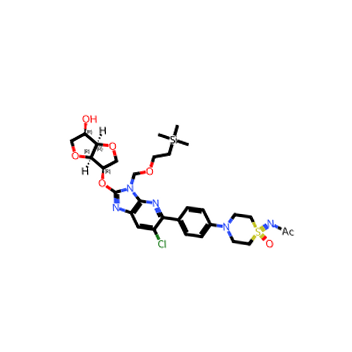 CC(=O)N=S1(=O)CCN(c2ccc(-c3nc4c(cc3Cl)nc(O[C@@H]3CO[C@H]5[C@@H]3OC[C@H]5O)n4COCC[Si](C)(C)C)cc2)CC1